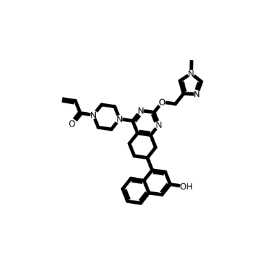 C=CC(=O)N1CCN(c2nc(OCc3cn(C)cn3)nc3c2CCC(c2cc(O)cc4ccccc24)C3)CC1